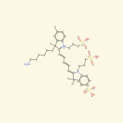 Cc1ccc2c(c1)C(C)(CCCCCCN)C(/C=C/C=C/C=C1\N(CCCS(=O)(=O)O)c3ccc(S(=O)(=O)O)cc3C1(C)C)=[N+]2CCCS(=O)(=O)O